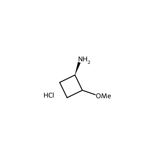 COC1CC[C@H]1N.Cl